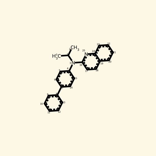 CC(C)N(c1ccc(-c2ccccc2)cc1)c1ccc2ccccc2n1